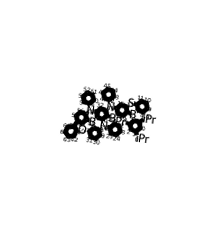 CC(C)c1cc(C(C)C)c(B2c3ccccc3Sc3cc4c(cc32)B2c3ccccc3N3c5ccccc5B5c6c(cc(c2c63)N4c2ccccc2)N(c2ccccc2)c2ccc3c(oc4ccccc43)c25)c(C(C)C)c1